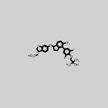 CC(C)(O)COc1c(F)cc(-c2c(C(F)(F)F)ccc3c2CCC3Oc2ccc3c(c2)OC[C@H]3CC(=O)O)cc1F